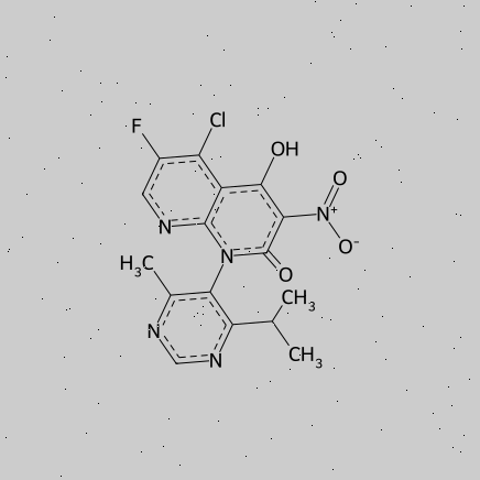 Cc1ncnc(C(C)C)c1-n1c(=O)c([N+](=O)[O-])c(O)c2c(Cl)c(F)cnc21